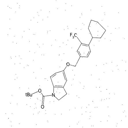 CC(C)(C)OC(=O)N1CCc2cc(OCc3ccc(C4CCCCC4)c(C(F)(F)F)c3)ccc21